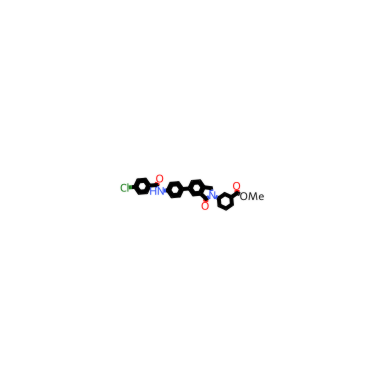 COC(=O)C1CCCC(N2Cc3ccc(-c4ccc(NC(=O)c5ccc(Cl)cc5)cc4)cc3C2=O)C1